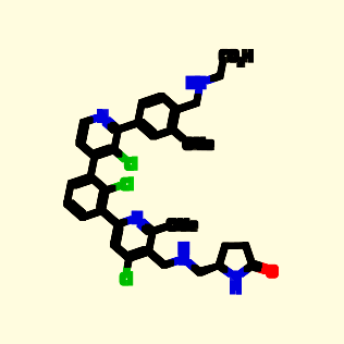 COc1cc(-c2nccc(-c3cccc(-c4cc(Cl)c(CNC[C@H]5CCC(=O)N5)c(OC)n4)c3Cl)c2Cl)ccc1CNCC(=O)O